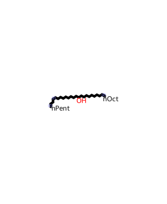 CCCCC/C=C\C/C=C\CCCCCCCCC(O)CCCCCCCC/C=C\CCCCCCCC